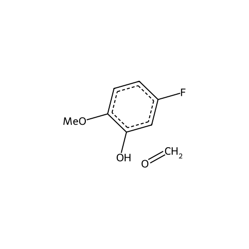 C=O.COc1ccc(F)cc1O